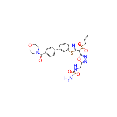 C=CCS(=O)(=O)C(c1nnc(CNS(N)(=O)=O)o1)c1nc2ccc(-c3ccc(C(=O)N4CCOCC4)cc3)cc2s1